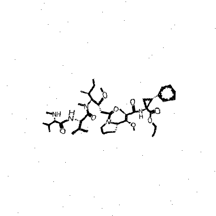 CCOC(=O)[C@]1(NC(=O)[C@H](C)[C@@H](OC)[C@@H]2CCCN2C(=O)C[C@@H](OC)[C@H]([C@@H](C)CC)N(C)C(=O)[C@@H](NC(=O)[C@@H](NC)C(C)C)C(C)C)C[C@@H]1c1ccccc1